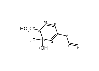 C=CCC1=CC(O)(F)C(C(=O)O)C=C1